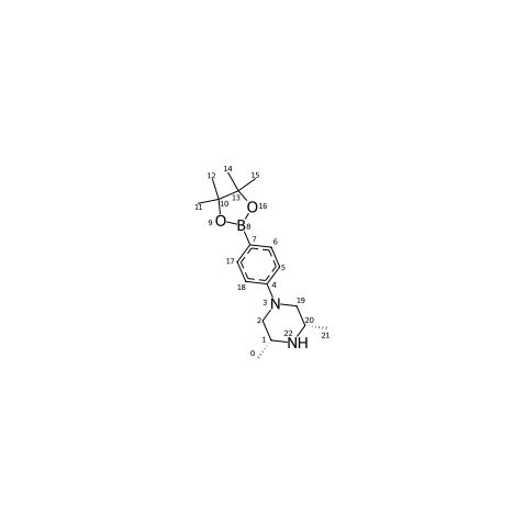 C[C@@H]1CN(c2ccc(B3OC(C)(C)C(C)(C)O3)cc2)C[C@H](C)N1